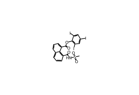 CS(=O)(=O)NC(=O)c1cccc2cccc(C(=O)Oc3c(I)cc(I)cc3I)c12